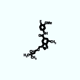 COc1cc(NC(=O)c2cc(C)c3ncn(COCCS(C)(C)C)c3c2)ccc1F